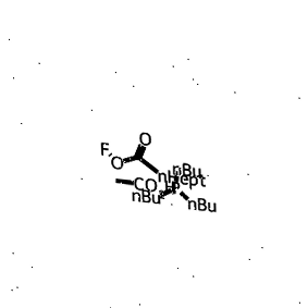 CC(=O)O.CCCCCCCC(=O)OF.CCCCP(CCCC)CCCC